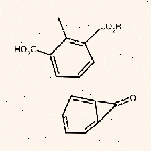 Cc1c(C(=O)O)cccc1C(=O)O.O=c1c2ccccc12